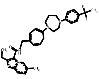 CCc1nc2ccc(C)cn2c1C(=O)NCC1=CC=C(N2CCCN(c3ccc(C(C)(F)F)cc3)CC2)CC=C1